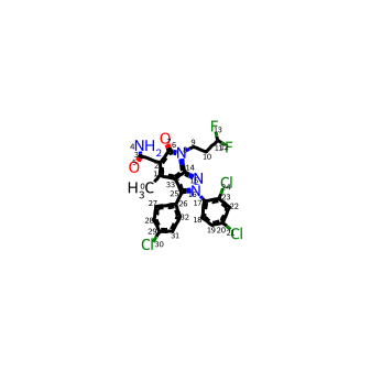 Cc1c(C(N)=O)c(=O)n(CCC(F)F)c2nn(-c3ccc(Cl)cc3Cl)c(-c3ccc(Cl)cc3)c12